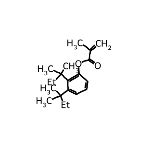 C=C(C)C(=O)Oc1cccc(C(C)(C)CC)c1C(C)(C)CC